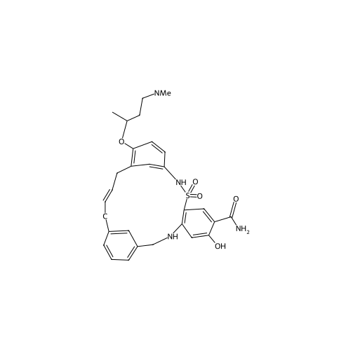 CNCCC(C)Oc1ccc2cc1C/C=C/Cc1cccc(c1)CNc1cc(O)c(C(N)=O)cc1S(=O)(=O)N2